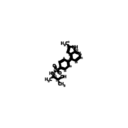 Cc1cc2c(-c3ccc(S(=O)(=O)N[C@@H](C)[C@@H](C)O)cc3)ccnc2[nH]1